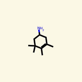 CC1=C(C)C(C)(C)CC(N)C1